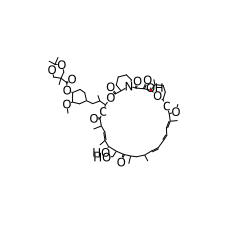 COC1CC2CCC(C)C(O)(O2)C(=O)C(=O)N2CCCCC2C(=O)OC(C(C)CC2CCC(OC(=O)C3(C)COC(C)(C)OC3)C(OC)C2)CC(=O)C(C)/C=C(\C)C(O)C(CO)C(=O)C(C)CC(C)/C=C/C=C/C=C/1C